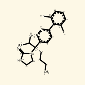 CCCC[C@@](c1ccc(-c2c(F)cccc2F)nn1)(C(C)C)N1CCNC1=O